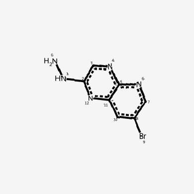 NNc1cnc2ncc(Br)cc2n1